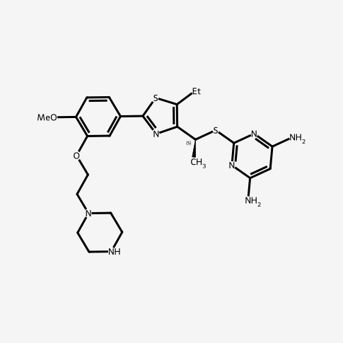 CCc1sc(-c2ccc(OC)c(OCCN3CCNCC3)c2)nc1[C@H](C)Sc1nc(N)cc(N)n1